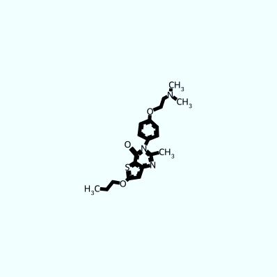 CCCOc1cc2nc(C)n(-c3ccc(OCCN(C)C)cc3)c(=O)c2s1